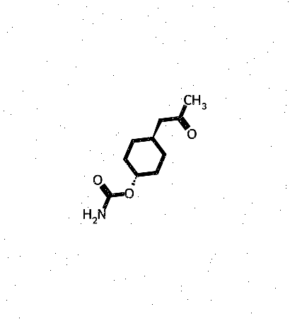 CC(=O)C[C@H]1CC[C@H](OC(N)=O)CC1